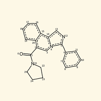 O=C(c1cn2c(-c3ccccc3)ncc2c2ccccc12)N1CCCC1